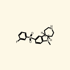 CN1c2ccc(S(=O)(=O)c3cccc(F)c3)cc2[C@@H]2CCNCC[C@@H]21